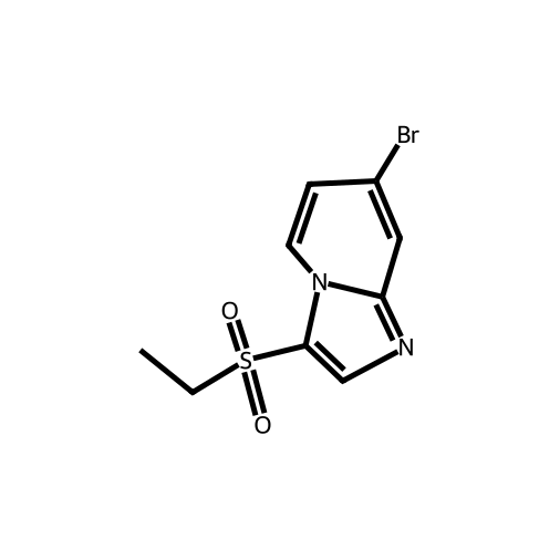 CCS(=O)(=O)c1cnc2cc(Br)ccn12